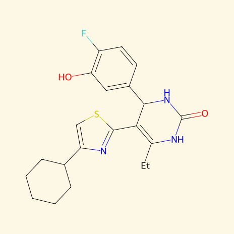 CCC1=C(c2nc(C3CCCCC3)cs2)C(c2ccc(F)c(O)c2)NC(=O)N1